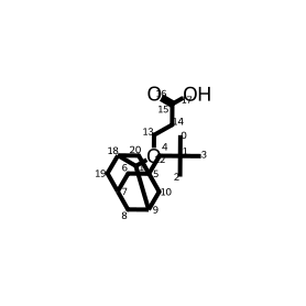 CC(C)(C)CC12CC3CC(C1)C(OCCC(=O)O)C(C3)C2